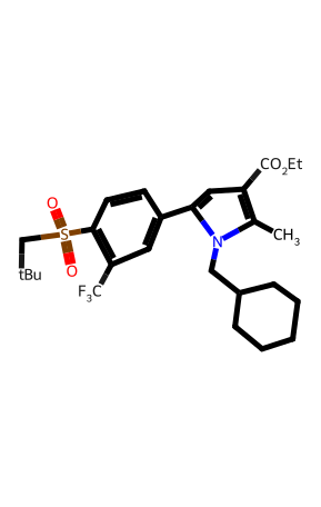 CCOC(=O)c1cc(-c2ccc(S(=O)(=O)CC(C)(C)C)c(C(F)(F)F)c2)n(CC2CCCCC2)c1C